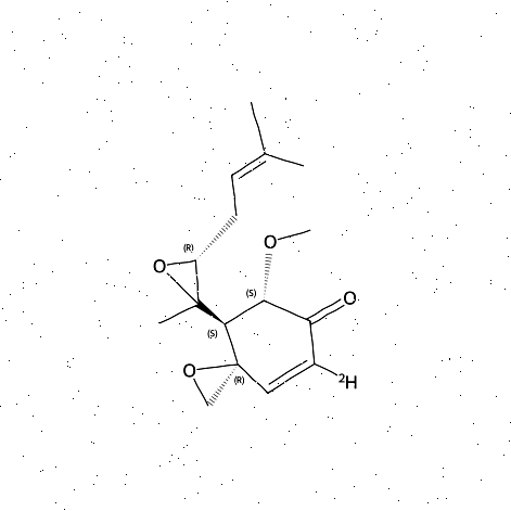 [2H]C1=C[C@]2(CO2)[C@@H](C2(C)O[C@@H]2CC=C(C)C)[C@H](OC)C1=O